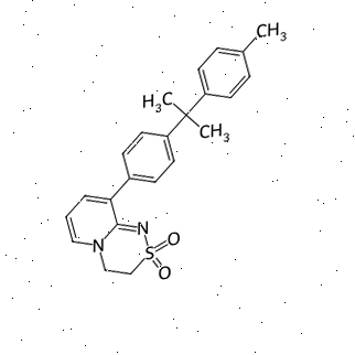 Cc1ccc(C(C)(C)c2ccc(C3=CC=CN4CCS(=O)(=O)N=C34)cc2)cc1